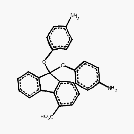 Nc1ccc(OC2(Oc3ccc(N)cc3)c3ccccc3-c3c(C(=O)O)cccc32)cc1